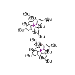 CC(C)(C)c1ccc([P+](c2ccc(C(C)(C)C)cc2C(C)(C)C)(c2ccc(C(C)(C)C)cc2C(C)(C)C)c2ccc(C(C)(C)C)cc2C(C)(C)C)c(C(C)(C)C)c1.CC(C)(C)c1ccc([P+](c2ccc(C(C)(C)C)cc2C(C)(C)C)(c2ccc(C(C)(C)C)cc2C(C)(C)C)c2ccc(C(C)(C)C)cc2C(C)(C)C)c(C(C)(C)C)c1.[H+]